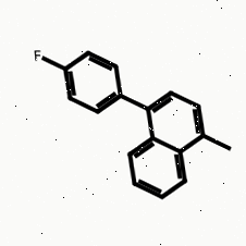 Cc1ccc(-c2ccc(F)cc2)c2ccccc12